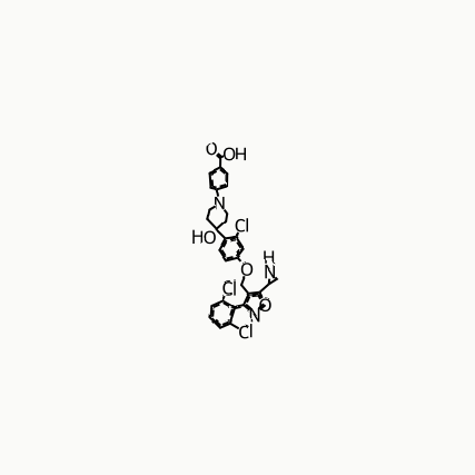 O=C(O)c1ccc(N2CCC(O)(c3ccc(OCc4c(-c5c(Cl)cccc5Cl)noc4C4CN4)cc3Cl)CC2)cc1